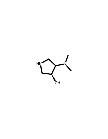 CN(C)C1CNC[C@@H]1O